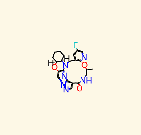 C[C@H]1CNC(=O)c2cnn3cc4c(nc23)N(Cc2cc(F)cnc2O1)[C@@H]1CCCC[C@@H]1O4